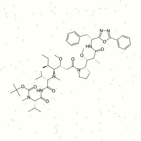 CC[C@H](C)[C@@H]([C@@H](CC(=O)N1CCC[C@H]1[C@H](OC)[C@@H](C)C(=O)N[C@H](Cc1ccccc1)c1nnc(-c2ccccc2)o1)OC)N(C)[C@H](C(=O)NC(=O)[C@H](C(C)C)N(C)C(=O)OC(C)(C)C)C(C)C